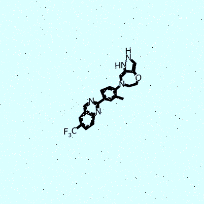 Cc1cc(-c2ncc3cc(C(F)(F)F)ccc3n2)ccc1N1C=C2NNC=C2OCC1